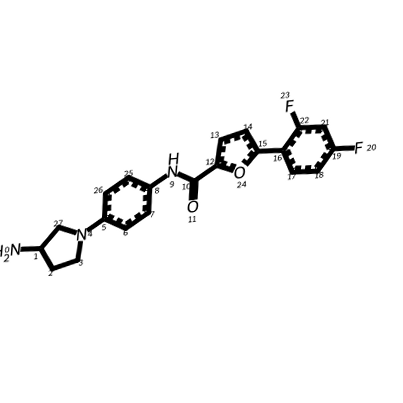 NC1CCN(c2ccc(NC(=O)c3ccc(-c4ccc(F)cc4F)o3)cc2)C1